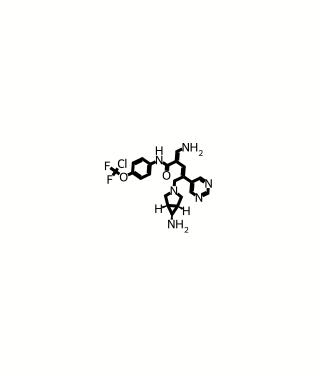 N/C=C(\C=C(/CN1C[C@@H]2[C@@H](N)[C@@H]2C1)c1cncnc1)C(=O)Nc1ccc(OC(F)(F)Cl)cc1